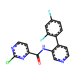 O=C(Nc1cnccc1-c1ccc(F)cc1F)c1ccnc(Cl)n1